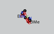 CCOc1ccn(Cc2ccccc2)c(=O)c1C(=O)Nc1ccc(Oc2ccnc3cc(OC)c4c(c23)OCCO4)c(F)c1